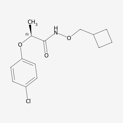 C[C@H](Oc1ccc(Cl)cc1)C(=O)NOCC1CCC1